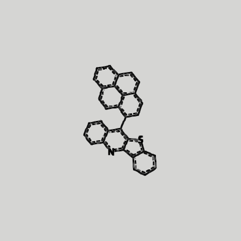 c1cc2ccc3ccc(-c4c5ccccc5nc5c4sc4ccccc45)c4ccc(c1)c2c34